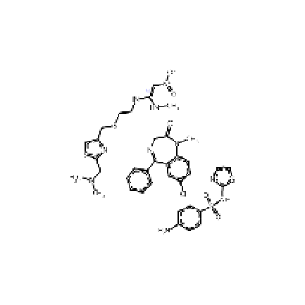 CN/C(=C\[N+](=O)[O-])NCCSCc1csc(CN(C)C)n1.CN1C(=O)CN=C(c2ccccc2)c2cc(Cl)ccc21.Nc1ccc(S(=O)(=O)Nc2nccs2)cc1